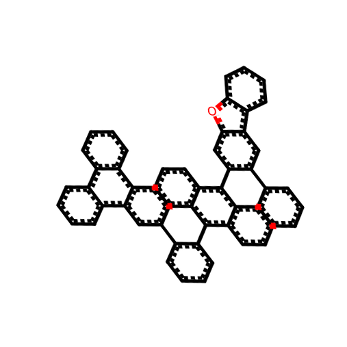 c1ccc(-c2cc3c(cc2-c2c4ccccc4c(-c4ccccc4-c4ccc5c6ccccc6c6ccccc6c5c4)c4ccccc24)oc2ccccc23)cc1